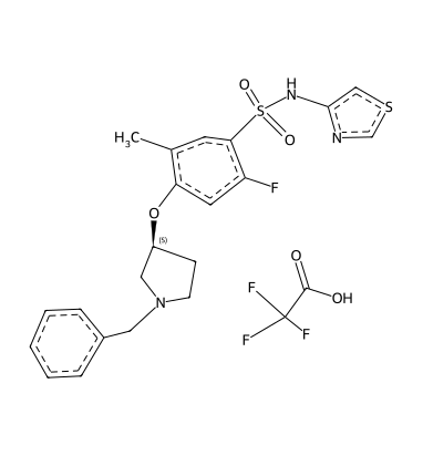 Cc1cc(S(=O)(=O)Nc2cscn2)c(F)cc1O[C@H]1CCN(Cc2ccccc2)C1.O=C(O)C(F)(F)F